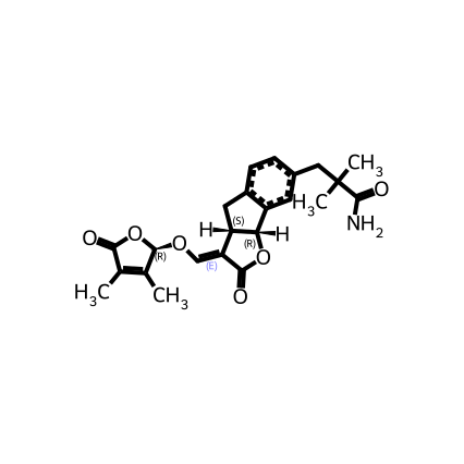 CC1=C(C)[C@H](O/C=C2/C(=O)O[C@H]3c4cc(CC(C)(C)C(N)=O)ccc4C[C@@H]23)OC1=O